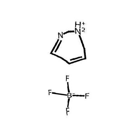 C1=C[NH2+]N=C1.F[B-](F)(F)F